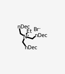 CCCCCCCCCCC[N+](CC)(CCCCCCCCCCC)CCCCCCCCCCC.[Br-]